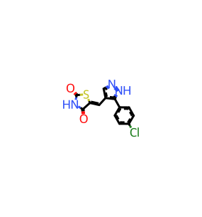 O=C1NC(=O)/C(=C/c2cn[nH]c2-c2ccc(Cl)cc2)S1